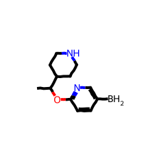 Bc1ccc(OC(C)C2CCNCC2)nc1